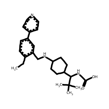 CCc1ccc(-c2ccncc2)cc1CNC1CCC(C(NC(=O)O)C(C)(C)C)CC1